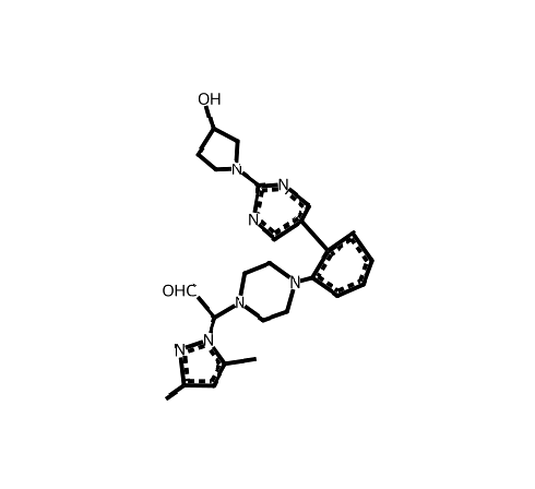 Cc1cc(C)n(C(C=O)N2CCN(c3ccccc3-c3cnc(N4CCC(O)C4)nc3)CC2)n1